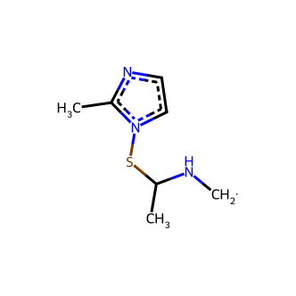 [CH2]NC(C)Sn1ccnc1C